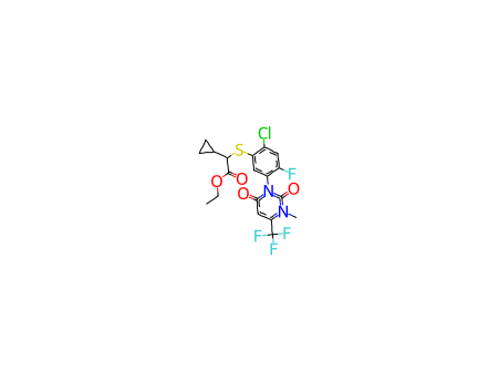 CCOC(=O)C(Sc1cc(-n2c(=O)cc(C(F)(F)F)n(C)c2=O)c(F)cc1Cl)C1CC1